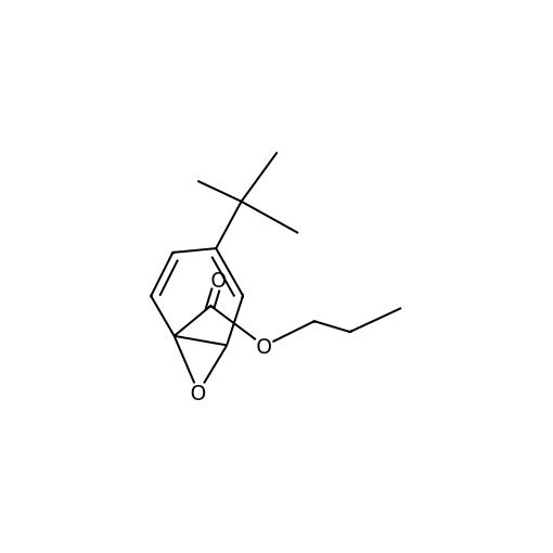 CCCOC(=O)C12C=CC(C(C)(C)C)=CC1O2